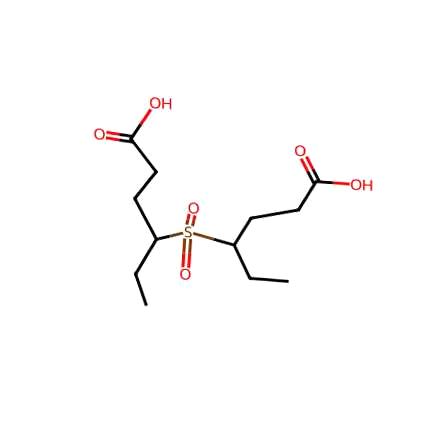 CCC(CCC(=O)O)S(=O)(=O)C(CC)CCC(=O)O